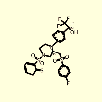 C[C@](O)(c1ccc(N2CCN(S(=O)(=O)C3=CC=CCC3=S)C[C@@H]2CS(=O)(=O)c2ccc(F)cc2)cc1)C(F)(F)F